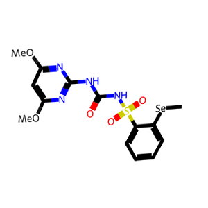 COc1cc(OC)nc(NC(=O)NS(=O)(=O)c2ccccc2[Se]C)n1